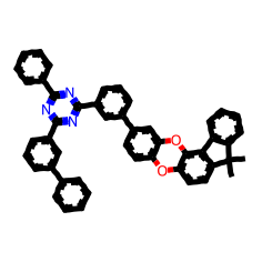 CC1(C)c2ccccc2-c2c1ccc1c2Oc2cc(-c3cccc(-c4nc(-c5ccccc5)nc(-c5cccc(-c6ccccc6)c5)n4)c3)ccc2O1